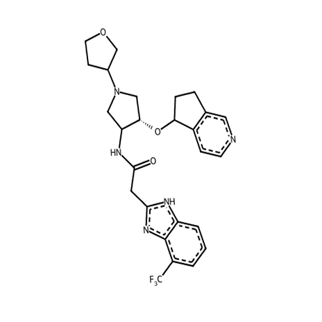 O=C(Cc1nc2c(C(F)(F)F)cccc2[nH]1)NC1CN(C2CCOC2)C[C@@H]1OC1CCc2cnccc21